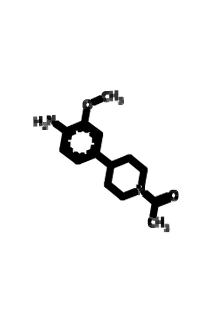 COc1cc(C2CCN(C(C)=O)CC2)ccc1N